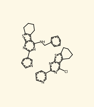 Clc1nc(-c2cccnc2)nc2sc3c(c12)CCCC3.c1ccc(CNc2nc(-c3cccnc3)nc3sc4c(c23)CCCC4)cc1